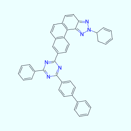 C1=CCC(n2nc3ccc4ccc5cc(-c6nc(-c7ccccc7)nc(-c7ccc(-c8ccccc8)cc7)n6)ccc5c4c3n2)C=C1